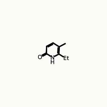 CCc1[nH]c(=O)ccc1C